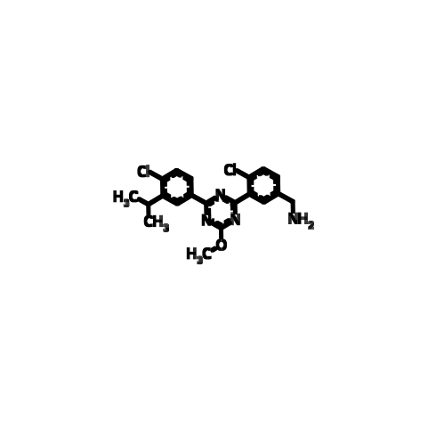 COc1nc(-c2ccc(Cl)c(C(C)C)c2)nc(-c2cc(CN)ccc2Cl)n1